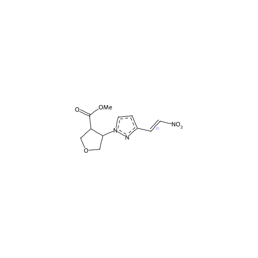 COC(=O)C1COCC1n1ccc(/C=C/[N+](=O)[O-])n1